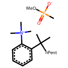 CCCCCC(C)(C)c1ccccc1[N+](C)(C)C.COP(C)(=O)[O-]